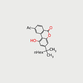 CCCCCCC(C)(C)c1cc(O)c2c(c1)oc(=O)c1ccc(C(C)=O)cc12